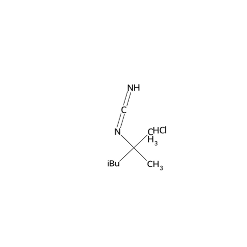 CCC(C)C(C)(C)N=C=N.Cl